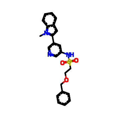 Cn1c(-c2cncc(NS(=O)(=O)CCOCc3ccccc3)c2)cc2ccccc21